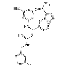 Cc1cccc(N/C(=C\C(=N)NCc2cccc(Cl)c2)c2ccn3ncc(C(N)=O)c3c2)n1